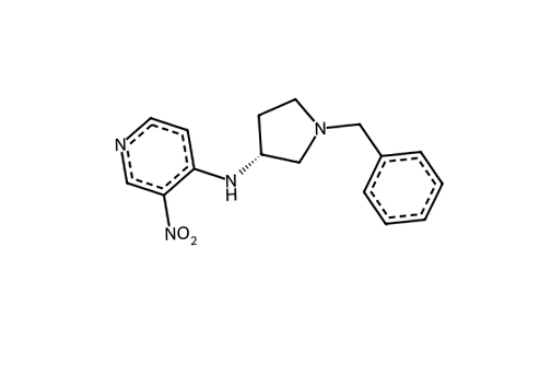 O=[N+]([O-])c1cnccc1N[C@@H]1CCN(Cc2ccccc2)C1